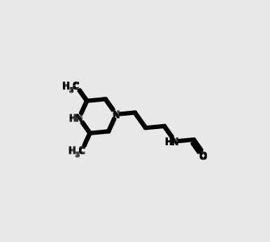 CC1CN(CCCNC=O)CC(C)N1